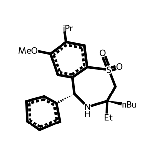 CCCC[C@]1(CC)CS(=O)(=O)c2cc(C(C)C)c(OC)cc2[C@@H](c2ccccc2)N1